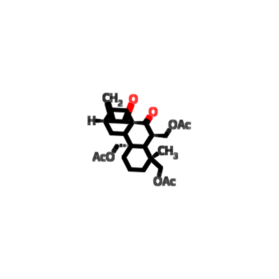 C=C1C(=O)[C@]23CC[C@H]1CC2[C@]1(COC(C)=O)CCC[C@@](C)(COC(C)=O)C1[C@H](COC(C)=O)C3=O